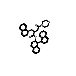 O=C(Oc1ccc2ccccc2c1-c1[c]ccc2ccccc12)C(CC(=O)N1CCOCC1)Cc1cccc2ccccc12